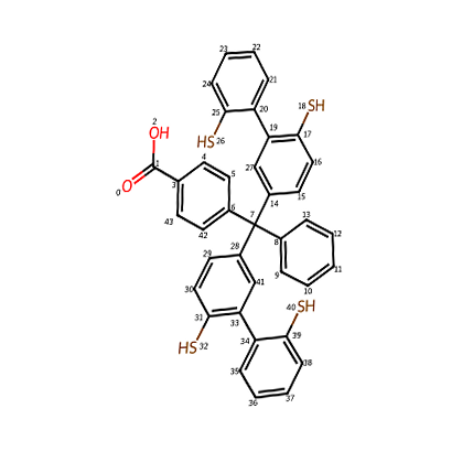 O=C(O)c1ccc(C(c2ccccc2)(c2ccc(S)c(-c3ccccc3S)c2)c2ccc(S)c(-c3ccccc3S)c2)cc1